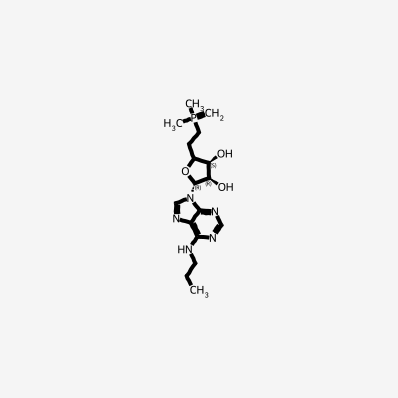 C=P(C)(C)CCC1O[C@@H](n2cnc3c(NCCC)ncnc32)[C@H](O)[C@@H]1O